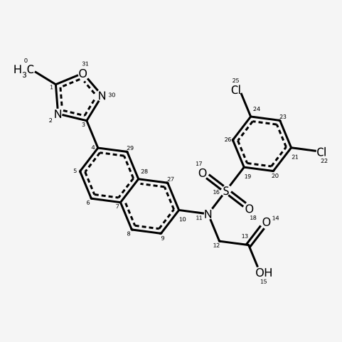 Cc1nc(-c2ccc3ccc(N(CC(=O)O)S(=O)(=O)c4cc(Cl)cc(Cl)c4)cc3c2)no1